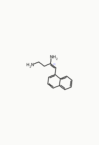 NCC/C(N)=C\c1cccc2ccccc12